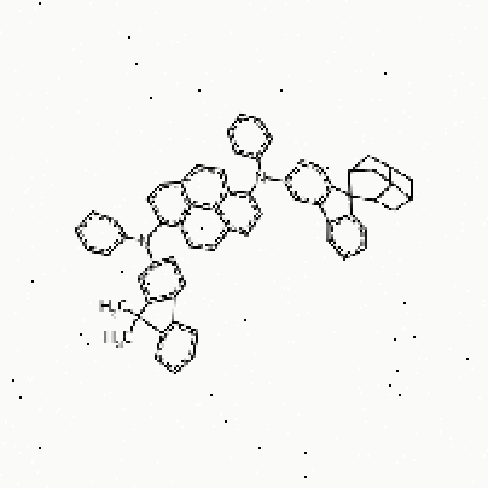 CC1(C)c2ccccc2-c2ccc(N(c3ccccc3)c3ccc4ccc5c(N(c6ccccc6)c6ccc7c(c6)-c6ccccc6C76C7CC8CC(C7)CC6C8)ccc6ccc3c4c65)cc21